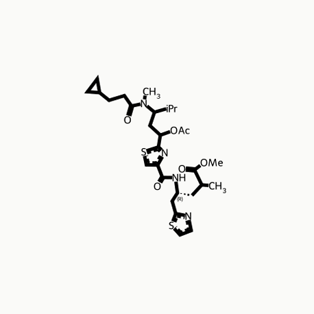 COC(=O)C(C)C[C@H](Cc1nccs1)NC(=O)c1csc(C(CC(C(C)C)N(C)C(=O)CCC2CC2)OC(C)=O)n1